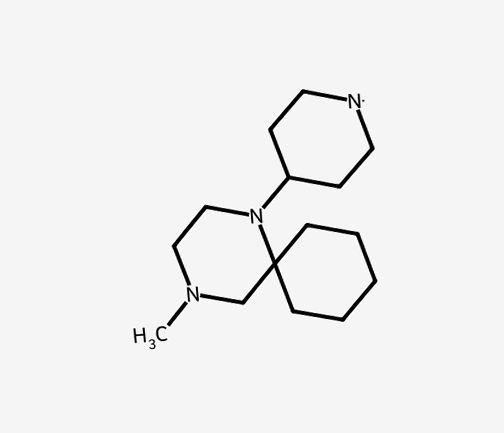 CN1CCN(C2CC[N]CC2)C2(CCCCC2)C1